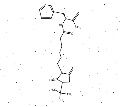 CC(=O)[C@H](Cc1ccccc1)NC(=O)CCCCCN1C(=O)CC(C(C)(C)C)C1=O